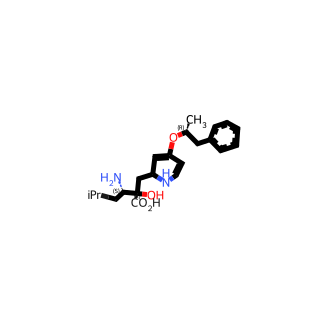 CC(C)C[C@H](N)[C@](O)(CC1C=C(O[C@H](C)Cc2ccccc2)C=CN1)C(=O)O